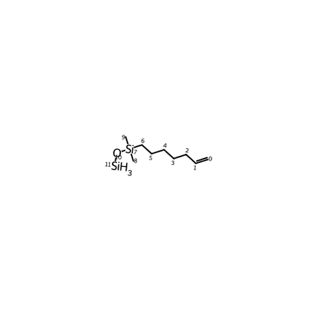 C=CCCCCC[Si](C)(C)O[SiH3]